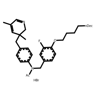 Br.CCCCCCCCCCCCCCOc1ccc(CN(C(C)=O)c2ccc(CC3(C)C=C(C)C=NC3)cc2)cc1F